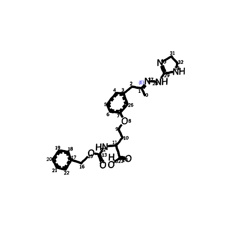 C/C(Cc1cccc(OCCC(NC(=O)OCc2ccccc2)C(=O)O)c1)=N\NC1=NCCN1